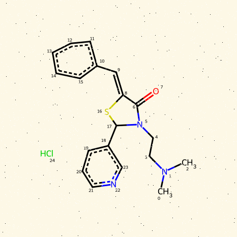 CN(C)CCN1C(=O)C(=Cc2ccccc2)SC1c1cccnc1.Cl